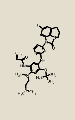 BC(B)(B)Oc1cc(N(C)CCN(C)C)c(NC(=O)C=C)cc1Nc1nccc(-n2c(=O)n3c4c(cc(F)cc42)CCC3)n1